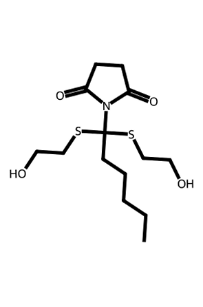 CCCCCC(SCCO)(SCCO)N1C(=O)CCC1=O